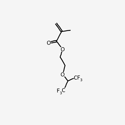 C=C(C)C(=O)OCCOC(C(F)(F)F)C(F)(F)F